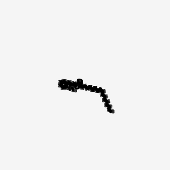 CCCCCCCC/C=C\CCCCCCCC(=O)OCC(Cc1ccccc1)N(C)C